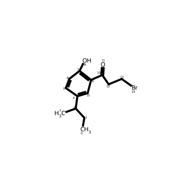 CCC(C)c1ccc(O)c(C(=O)CCBr)c1